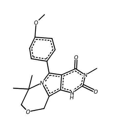 COc1ccc(-c2c3c(=O)n(C)c(=O)[nH]c3c3n2C(C)(C)COC3)cc1